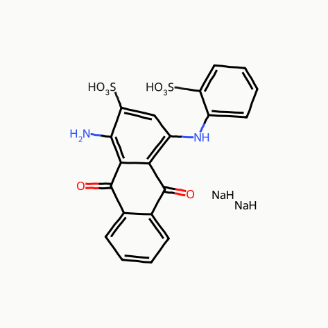 Nc1c(S(=O)(=O)O)cc(Nc2ccccc2S(=O)(=O)O)c2c1C(=O)c1ccccc1C2=O.[NaH].[NaH]